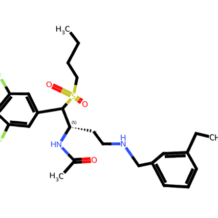 CCCCS(=O)(=O)C(c1cc(F)cc(F)c1)[C@H]([CH]CNCc1cccc(CC)c1)NC(C)=O